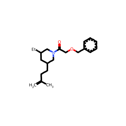 C=C(C)CCC1CC(CC)CN(C(=O)COCc2ccccc2)C1